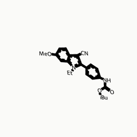 CCC(C)OC(=O)Nc1ccc(-c2c(C#N)c3ccc(OC)cc3n2CC)cc1